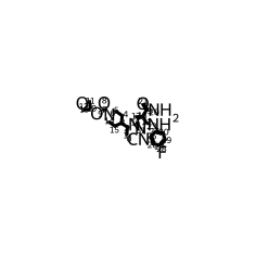 N#CCC(C1CCN(C(=O)OC2COC2)CC1)n1cc(C(N)=O)c(Nc2ccc(F)cc2)n1